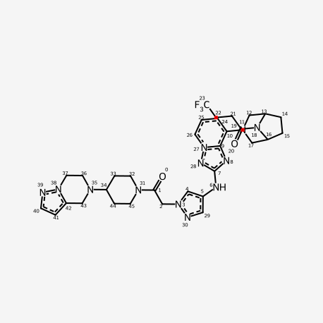 O=C(Cn1cc(Nc2nc3c(N4CC5CCC(C4)N5C(=O)CCC(F)(F)F)cccn3n2)cn1)N1CCC(N2CCn3nccc3C2)CC1